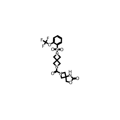 O=C1NC2(CO1)CN(C(=O)N1CC3(C1)CN(S(=O)(=O)c1ccccc1OC(F)(F)F)C3)C2